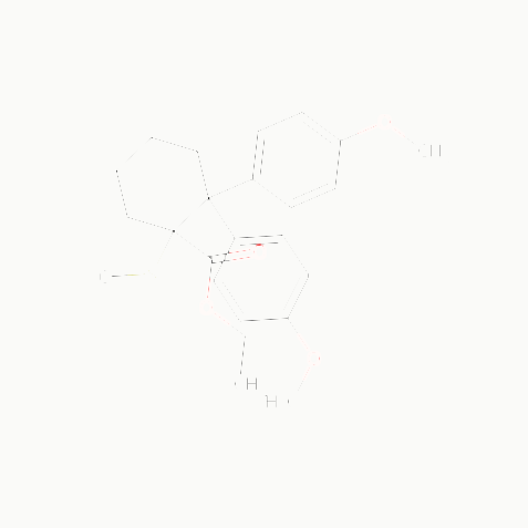 CCOC(=O)C1(SC)CCCCC1(c1ccc(OC)cc1)c1ccc(OC)cc1